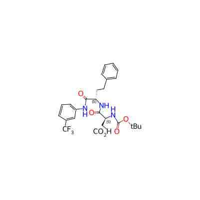 CC(C)(C)OC(=O)N[C@@H](CC(=O)O)C(=O)N[C@@H](CCc1ccccc1)C(=O)Nc1cccc(C(F)(F)F)c1